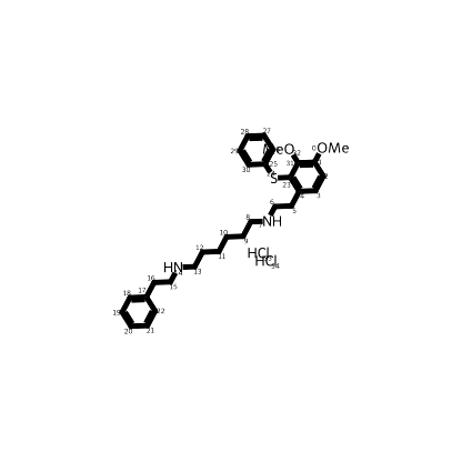 COc1ccc(CCNCCCCCCNCCc2ccccc2)c(Sc2ccccc2)c1OC.Cl.Cl